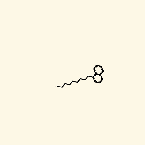 [CH2]CCCCCCCCc1cccc2ccccc12